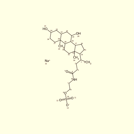 CC(CCC(=O)NCCOS(=O)(=O)[O-])C1CCC2C3C(O)CC4CC(O)CCC4(C)C3CCC12C.[Na+]